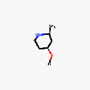 CCO[C@H]1CCN[C@@H](C)C1